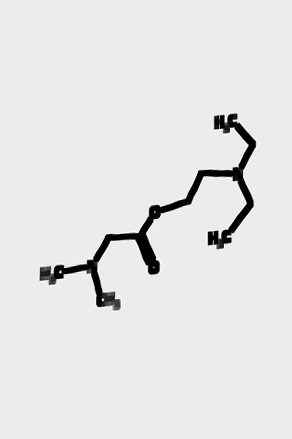 CCN(CC)CCOC(=O)CN(C)C